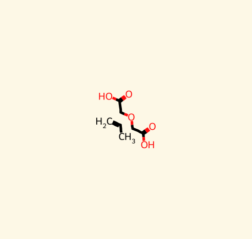 C=CC.O=C(O)COCC(=O)O